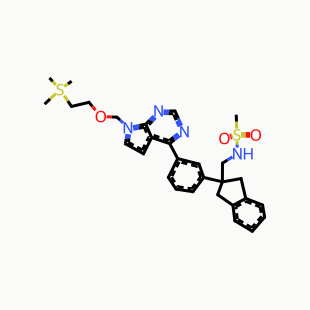 CS(C)(C)CCOCn1ccc2c(-c3cccc(C4(CNS(C)(=O)=O)Cc5ccccc5C4)c3)ncnc21